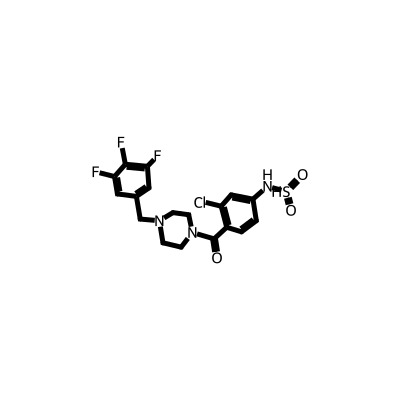 O=C(c1ccc(N[SH](=O)=O)cc1Cl)N1CCN(Cc2cc(F)c(F)c(F)c2)CC1